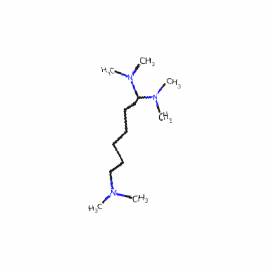 CN(C)CCCCCC(N(C)C)N(C)C